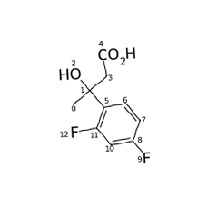 CC(O)(CC(=O)O)c1ccc(F)cc1F